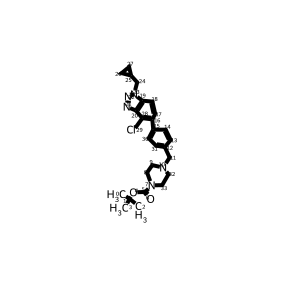 CC(C)(C)OC(=O)N1CCN(Cc2ccc(-c3ccc4c(nnn4CC4CC4)c3Cl)cc2)CC1